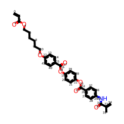 C=CC(=O)OCCCCCCOc1ccc(C(=O)Oc2ccc(OC(=O)c3ccc(NC(=O)C(=C)C)cc3)cc2)cc1